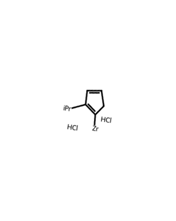 CC(C)C1=[C]([Zr])CC=C1.Cl.Cl